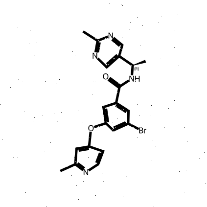 Cc1cc(Oc2cc(Br)cc(C(=O)N[C@H](C)c3cnc(C)nc3)c2)ccn1